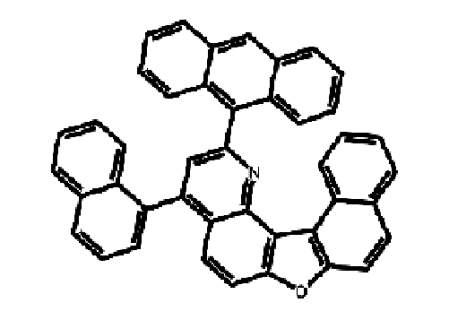 c1ccc2c(-c3cc(-c4c5ccccc5cc5ccccc45)nc4c3ccc3oc5ccc6ccccc6c5c34)cccc2c1